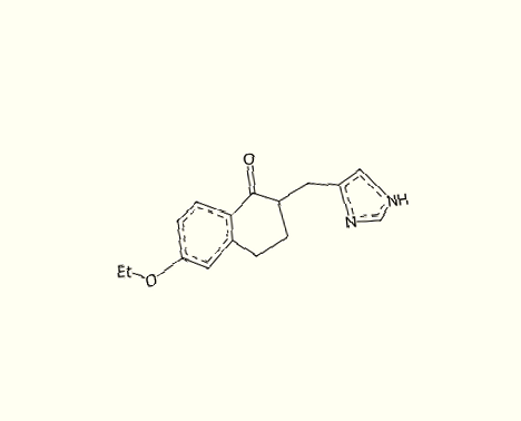 CCOc1ccc2c(c1)CCC(Cc1c[nH]cn1)C2=O